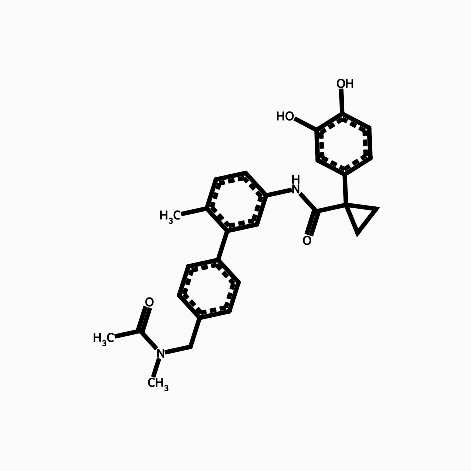 CC(=O)N(C)Cc1ccc(-c2cc(NC(=O)C3(c4ccc(O)c(O)c4)CC3)ccc2C)cc1